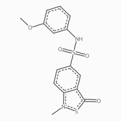 COc1cccc(NS(=O)(=O)c2ccc3c(c2)c(=O)sn3C)c1